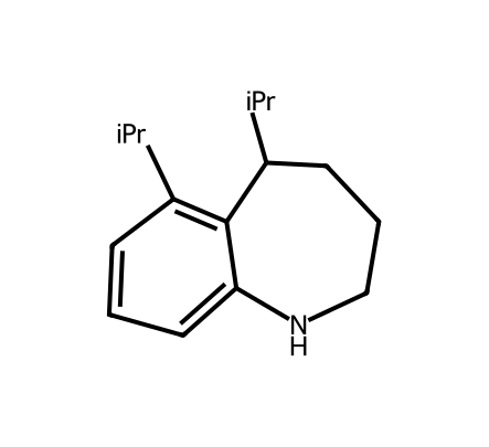 CC(C)c1cccc2c1C(C(C)C)CCCN2